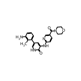 Cc1c(N)cccc1-c1c[nH]c(=O)c(Nc2ccc(C(=O)N3CCOCC3)cn2)c1